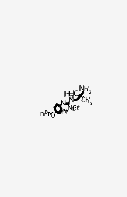 CCCOc1ccc(/N=C(/NCC(C)(C)CN)N(CC)C(C)C)cc1